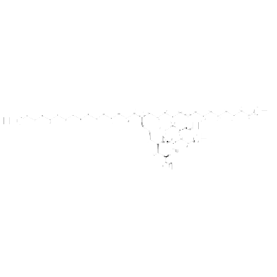 CCCCCCCCCCCCCCCCC(CCCCCCCCCCCCCCC)CCCC(CC(=O)O)N(CCCC)CCCC